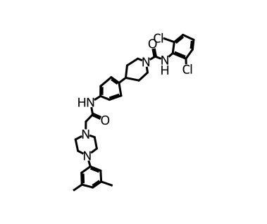 Cc1cc(C)cc(N2CCN(CC(=O)Nc3ccc(C4CCN(C(=O)Nc5c(Cl)cccc5Cl)CC4)cc3)CC2)c1